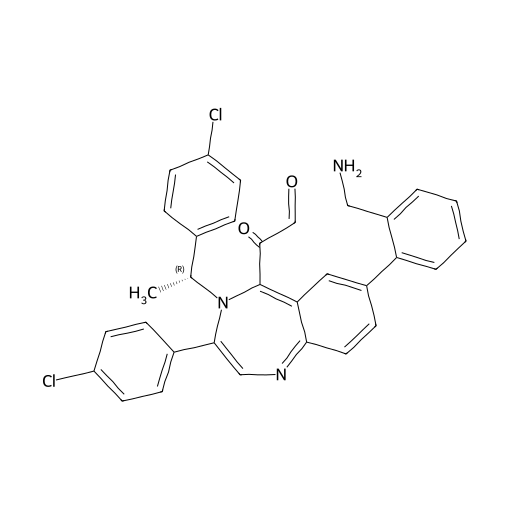 C[C@H](c1ccc(Cl)cc1)N1C(c2ccc(Cl)cc2)=CN=c2ccc(-c3ccccc3CN)cc2=C1C(=O)C=O